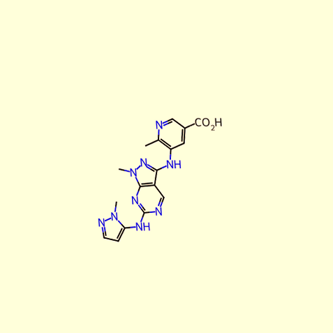 Cc1ncc(C(=O)O)cc1Nc1nn(C)c2nc(Nc3ccnn3C)ncc12